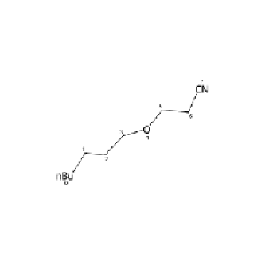 CCCCCCCOCCC#N